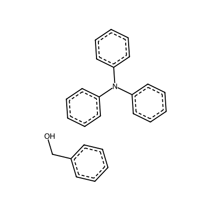 OCc1ccccc1.c1ccc(N(c2ccccc2)c2ccccc2)cc1